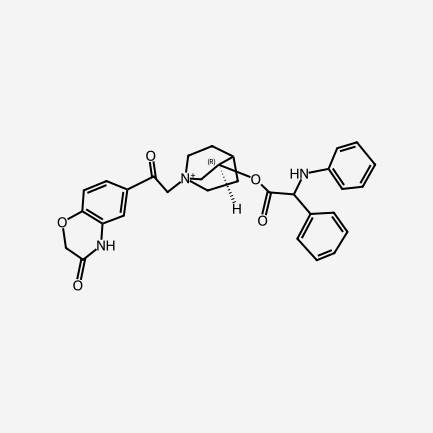 O=C1COc2ccc(C(=O)C[N+]34CCC(CC3)[C@@H](OC(=O)C(Nc3ccccc3)c3ccccc3)C4)cc2N1